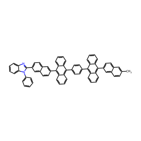 Cc1ccc2cc(-c3c4ccccc4c(-c4ccc(-c5c6ccccc6c(-c6ccc7cc(-c8nc9ccccc9n8-c8ccccc8)ccc7c6)c6ccccc56)cc4)c4ccccc34)ccc2c1